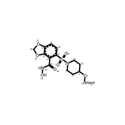 CCCCCCCOC1CCN(S(=O)(=O)c2ccc3c(c2C(=O)NO)OCO3)CC1